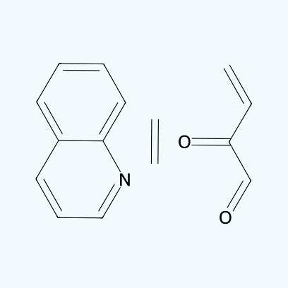 C=C.C=CC(=O)C=O.c1ccc2ncccc2c1